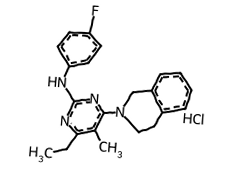 CCc1nc(Nc2ccc(F)cc2)nc(N2CCc3ccccc3C2)c1C.Cl